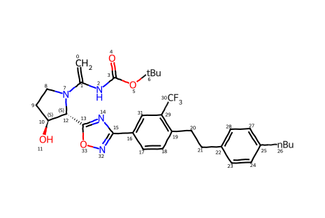 C=C(NC(=O)OC(C)(C)C)N1CC[C@H](O)[C@H]1c1nc(-c2ccc(CCc3ccc(CCCC)cc3)c(C(F)(F)F)c2)no1